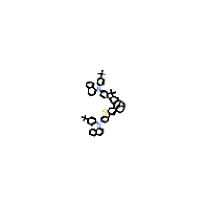 CC(C)(C)c1ccc(N(c2ccc3c(c2)C(C)(C)c2cc4c(cc2-3)-c2cc3sc5cc(N(c6ccc(C(C)(C)C)cc6)c6cccc7ccccc67)ccc5c3cc2C2CC3CC(CC4C3)C2)c2cccc3ccccc23)cc1